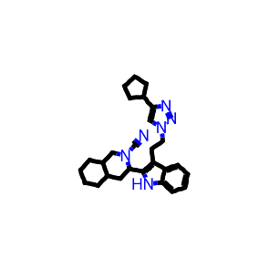 N#CN1CC2CCCCC2CC1c1[nH]c2ccccc2c1CCn1cc(C2CCCC2)nn1